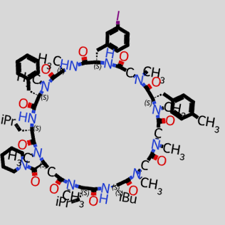 CC[C@H](C)[C@@H]1NC(=O)[C@H](CC(C)C)N(C)C(=O)C[C@@H](C(=O)N2CCCCC2)N(C)C(=O)[C@H](CC(C)C)NC(=O)[C@H](Cc2ccccc2)N(C)C(=O)[C@H](C)NC(=O)[C@H](Cc2cccc(I)c2)NC(=O)CN(C)C(=O)[C@H](Cc2ccc(C)cc2)N(C)C(=O)CN(C)C(=O)CN(C)C1=O